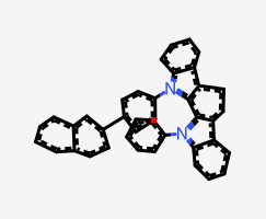 c1ccc(-n2c3ccccc3c3ccc4c5ccccc5n(-c5ccc(-c6ccc7ccccc7c6)cc5)c4c32)cc1